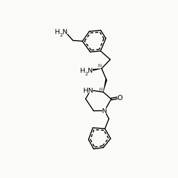 NCc1cccc(C[C@H](N)C[C@@H]2NCCN(Cc3ccccc3)C2=O)c1